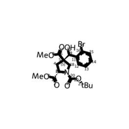 COC(=O)[C@@H]1C[C@@](C(=O)OC)(C(O)c2ccccc2Br)CN1C(=O)OC(C)(C)C